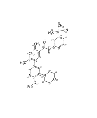 C=C/C(=C\C(=C(C)C)c1cnc(OC(C)C)c(N2CCOCC2)c1)C(=O)Nc1cccc(C(C)(C)C#N)c1